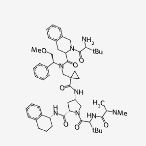 CNC(C)C(=O)NC(C(=O)N1C[C@@H](NC(=O)C2(CN(C(=O)C3Cc4ccccc4CN3C(=O)C(N)C(C)(C)C)[C@H](COC)c3ccccc3)CC2)C[C@H]1C(=O)N[C@@H]1CCCc2ccccc21)C(C)(C)C